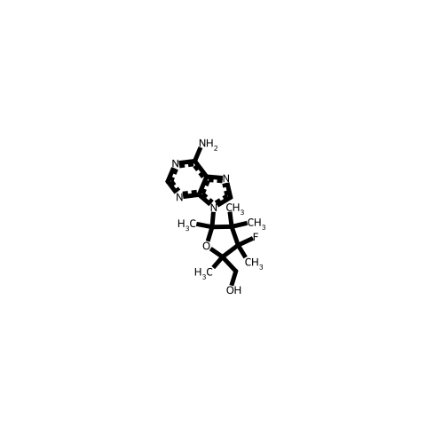 CC1(CO)OC(C)(n2cnc3c(N)ncnc32)C(C)(C)C1(C)F